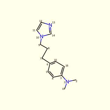 CN(C)c1ccc([CH]CCn2ccnc2)cc1